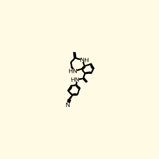 C=C1CCNc2c(cccc2C(=C)Nc2ccc(C#N)cc2)N1